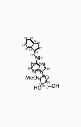 CO[C@@H]1[C@H](O)[C@@H](CO)O[C@H]1n1cnc2c(NCC3=CCc4ccccc43)ncnc21